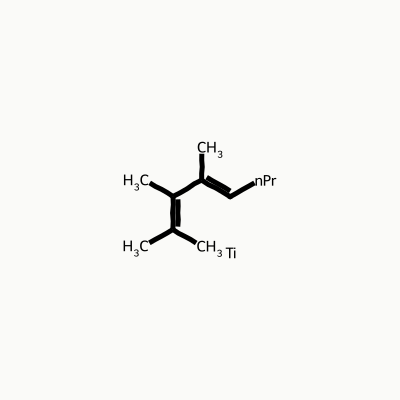 CCC/C=C(\C)C(C)=C(C)C.[Ti]